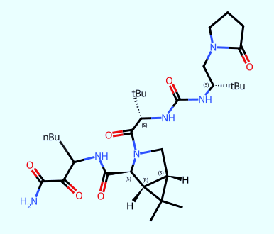 CCCCC(NC(=O)[C@@H]1[C@@H]2[C@H](CN1C(=O)[C@@H](NC(=O)N[C@H](CN1CCCC1=O)C(C)(C)C)C(C)(C)C)C2(C)C)C(=O)C(N)=O